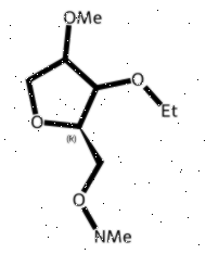 CCOC1C(OC)CO[C@@H]1CONC